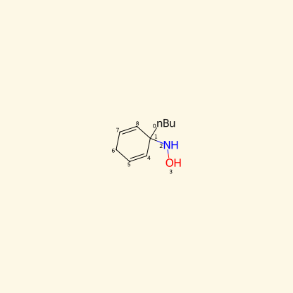 CCCCC1(NO)C=CCC=C1